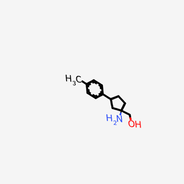 Cc1ccc(C2CC[C@](N)(CO)C2)cc1